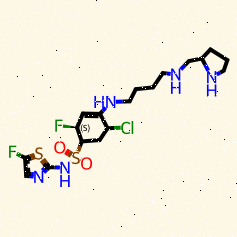 O=S(=O)(Nc1ncc(F)s1)C1CC(Cl)C(NCCCCNCC2CCCN2)=C[C@@H]1F